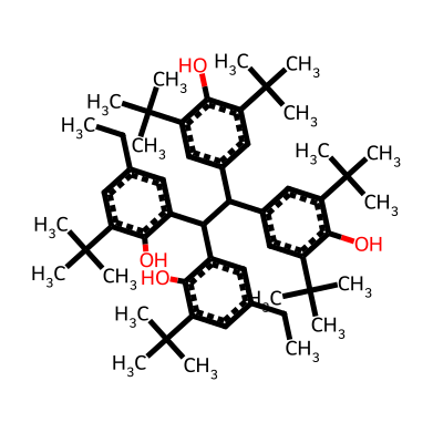 CCc1cc(C(c2cc(CC)cc(C(C)(C)C)c2O)C(c2cc(C(C)(C)C)c(O)c(C(C)(C)C)c2)c2cc(C(C)(C)C)c(O)c(C(C)(C)C)c2)c(O)c(C(C)(C)C)c1